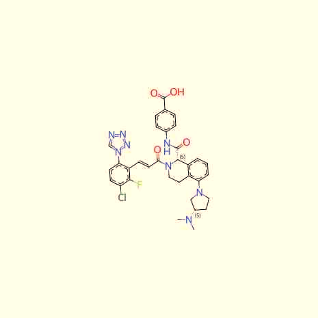 CN(C)[C@H]1CCN(c2cccc3c2CCN(C(=O)C=Cc2c(-n4cnnn4)ccc(Cl)c2F)[C@@H]3C(=O)Nc2ccc(C(=O)O)cc2)C1